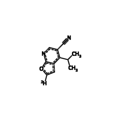 [2H]c1cc2c(C(C)C)c(C#N)cnc2o1